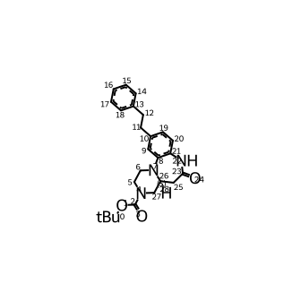 CC(C)(C)OC(=O)N1CCN2c3cc(CCc4ccccc4)ccc3NC(=O)C[C@H]2C1